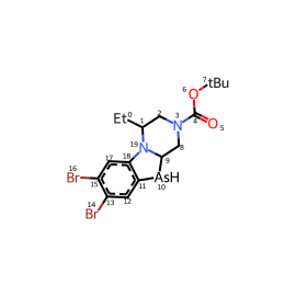 CCC1CN(C(=O)OC(C)(C)C)CC2[AsH]c3cc(Br)c(Br)cc3N12